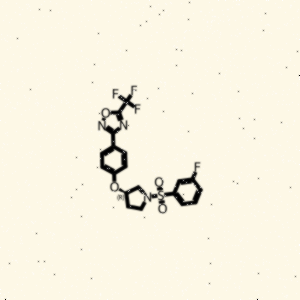 O=S(=O)(c1cccc(F)c1)N1CC[C@@H](Oc2ccc(-c3noc(C(F)(F)F)n3)cc2)C1